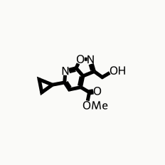 COC(=O)c1cc(C2CC2)nc2onc(CO)c12